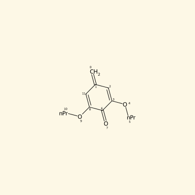 C=C1C=C(OCCC)C(=O)C(OCCC)=C1